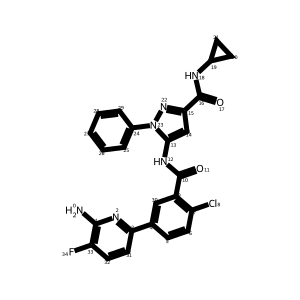 Nc1nc(-c2ccc(Cl)c(C(=O)Nc3cc(C(=O)NC4CC4)nn3-c3ccccc3)c2)ccc1F